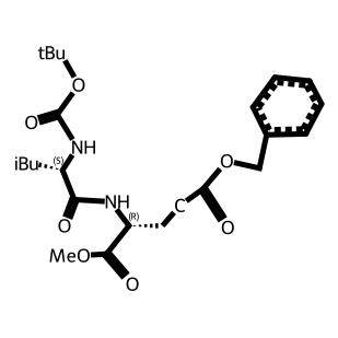 CCC(C)[C@H](NC(=O)OC(C)(C)C)C(=O)N[C@H](CCC(=O)OCc1ccccc1)C(=O)OC